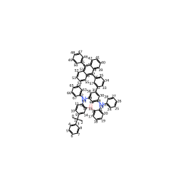 CC(C)(c1ccccc1)c1ccc2c(c1)B1c3ccccc3N(c3ccccc3)c3cc(-c4cccc(-c5c6ccccc6c(-c6ccccc6)c6ccccc56)c4)cc(c31)N2c1ccccc1